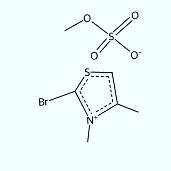 COS(=O)(=O)[O-].Cc1csc(Br)[n+]1C